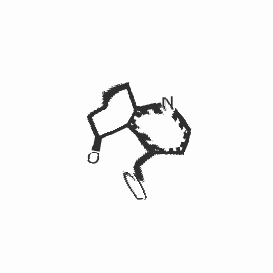 O=C1CCCc2nccc(Cl)c21